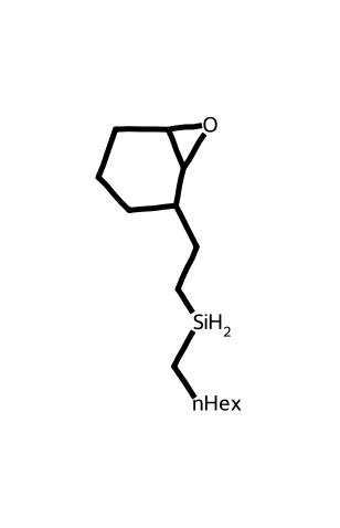 CCCCCCC[SiH2]CCC1CCCC2OC12